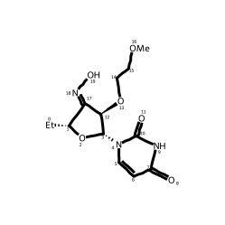 CC[C@H]1O[C@@H](n2ccc(=O)[nH]c2=O)[C@H](OCCOC)/C1=N\O